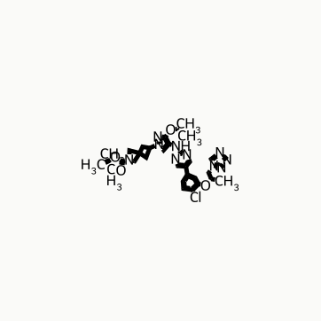 CC(C)Oc1nn(C2CC3(C2)CN(C(=O)OC(C)(C)C)C3)cc1Nc1ncc(-c2ccc(Cl)c(OC(C)Cn3cnnn3)c2)cn1